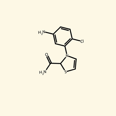 NC(=O)C1SC=CN1c1cc(N)ccc1Cl